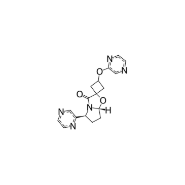 O=C1N2[C@@H](CC[C@H]2c2cnccn2)OC12CC(Oc1cnccn1)C2